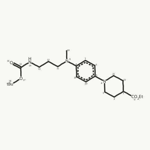 CCOC(=O)C1CCN(c2ccc(N(C)CCCNC(=O)OC(C)(C)C)cc2)CC1